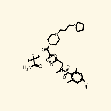 COc1cc(C)c(S(=O)(=O)N(C)Cc2noc(C(=O)N3CCN(CCCN4CCCC4)CC3)n2)c(C)c1.NC(=O)C(F)(F)F